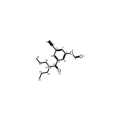 C#Cc1cc(OC=O)cc(C(=O)N(CCC)CCC)c1